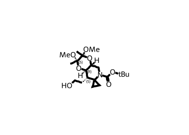 CO[C@@]1(C)O[C@@H]2[C@@H](CCO)C3(CC3)N(C(=O)OC(C)(C)C)C[C@H]2O[C@]1(C)OC